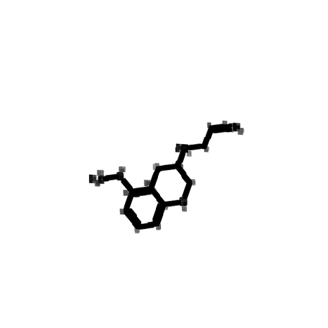 C=CCNC1COc2cccc(OC)c2C1